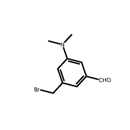 CN(C)c1cc(C=O)cc(CBr)c1